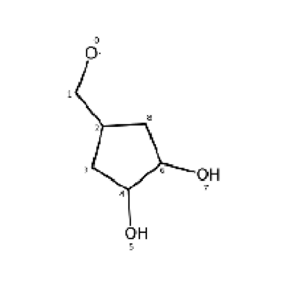 [O]CC1CC(O)C(O)C1